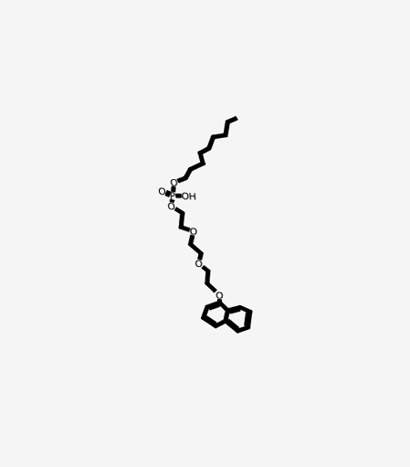 CCCCCCCCCOP(=O)(O)OCCOCCOCCOc1cccc2ccccc12